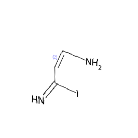 N=C(I)/C=C\N